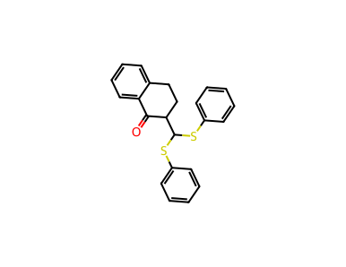 O=C1c2ccccc2CCC1C(Sc1ccccc1)Sc1ccccc1